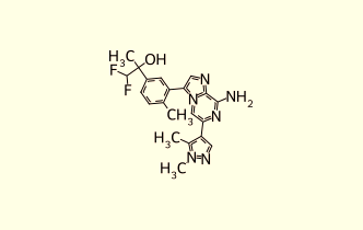 Cc1ccc(C(C)(O)C(F)F)cc1-c1cnc2c(N)nc(-c3cnn(C)c3C)cn12